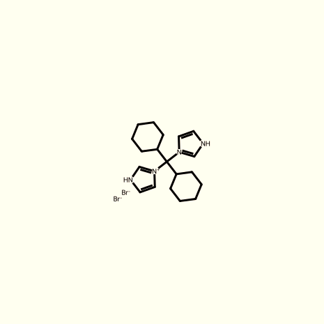 [Br-].[Br-].c1c[n+](C(C2CCCCC2)(C2CCCCC2)[n+]2cc[nH]c2)c[nH]1